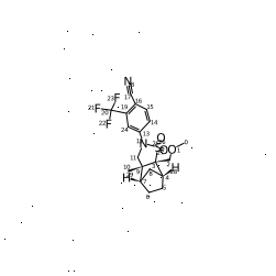 COC[C@@]12[C@@H]3CC[C@@H](C3)[C@]1(C)CN(c1ccc(C#N)c(C(F)(F)F)c1)S2(=O)=O